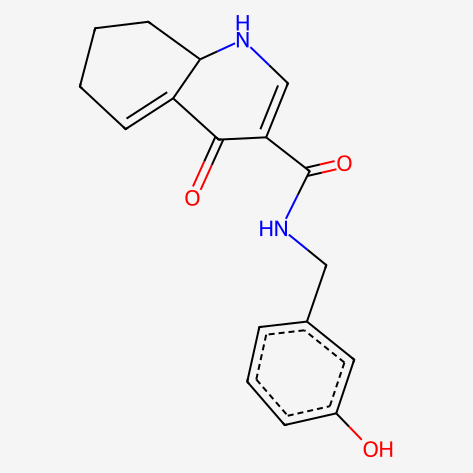 O=C(NCc1cccc(O)c1)C1=CNC2CCCC=C2C1=O